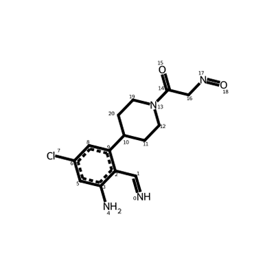 N=Cc1c(N)cc(Cl)cc1C1CCN(C(=O)CN=O)CC1